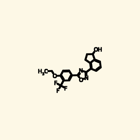 CCOc1ccc(-c2nc(-c3cccc4c3CCC4O)no2)cc1C(F)(F)F